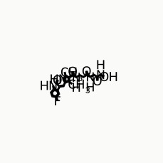 Cc1[nH]c(/C=C2\C(=O)Nc3ccc(F)cc32)c(C)c1C(=O)NCCC(=O)NCC(=O)NO